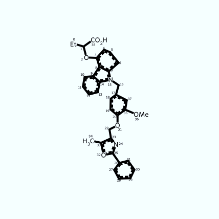 CCC(Oc1cccc2c1c1ccccc1n2Cc1ccc(OCc2nc(-c3ccccc3)oc2C)c(OC)c1)C(=O)O